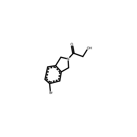 O=C(CO)N1Cc2ccc(Br)cc2C1